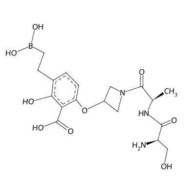 C[C@@H](NC(=O)[C@H](N)CO)C(=O)N1CC(Oc2ccc(CCB(O)O)c(O)c2C(=O)O)C1